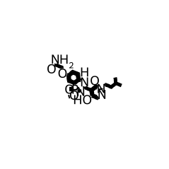 COP1(=O)N=C(c2c(O)cnn(CCC(C)C)c2=O)Nc2ccc(OCC(N)=O)cc21